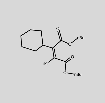 CCCCOC(=O)/C(=C(\C(=O)OCCCC)C1CCCCC1)C(C)C